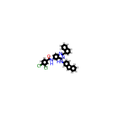 O=C(Nc1ccc2nc(-c3cccc4ccccc34)nc(Nc3ccc4c(c3)Cc3ccccc3-4)c2c1)c1ccc(Cl)c(Cl)c1